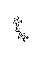 C=CC(=O)NC(=O)OCC1CCC(COC(=O)NC(O)C=C)O1